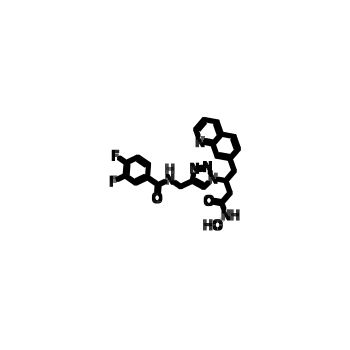 O=C(CC(Cc1ccc2cccnc2c1)n1cc(CNC(=O)c2ccc(F)c(F)c2)nn1)NO